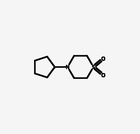 O=S1(=O)CCN([C]2CCCC2)CC1